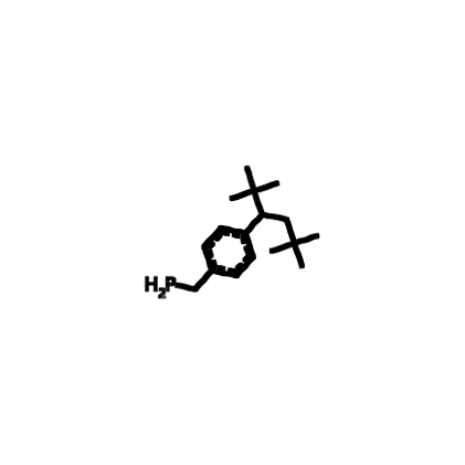 CC(C)(C)CC(c1ccc(CP)cc1)C(C)(C)C